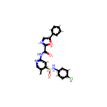 Cc1cnc(NC(=O)c2ncc(-c3ccccc3)o2)cc1[S+]([O-])Nc1ccc(Cl)cc1